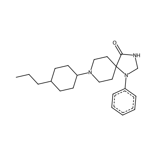 CCCC1CCC(N2CCC3(CC2)C(=O)NCN3c2ccccc2)CC1